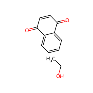 CCO.O=C1C=CC(=O)c2ccccc21